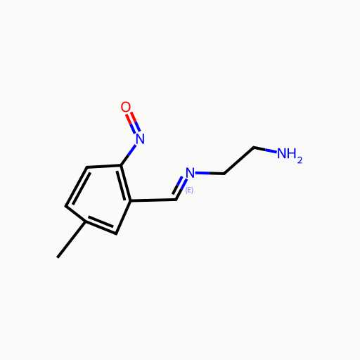 Cc1ccc(N=O)c(/C=N/CCN)c1